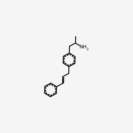 CC(N)Cc1ccc(CC=Cc2ccccc2)cc1